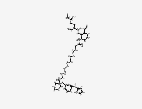 CNC(=O)CCC(C=O)N(C)Cc1c(C=O)cccc1NC(=O)CCOCCCOCCOCCNC1(Cc2cccc(Nc3nccs3)n2)CCCCC1